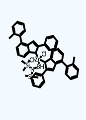 Cc1ccccc1-c1cccc2c1C=C(c1ccccc1)[CH]2[Zr]([Cl])([Cl])([BH]N([Si](C)(C)C)[Si](C)(C)C)[CH]1C(c2ccccc2)=Cc2c(-c3ccccc3C)cccc21